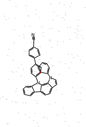 N#Cc1ccc(-c2ccc(-n3c4ccccc4c4ccc5ccn(-c6ccccc6)c5c43)cc2)cc1